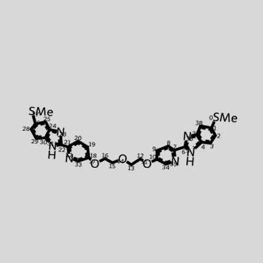 CSc1ccc2[nH]c(-c3ccc(OCCOCCOc4ccc(-c5nc6cc(SC)ccc6[nH]5)nc4)cn3)nc2c1